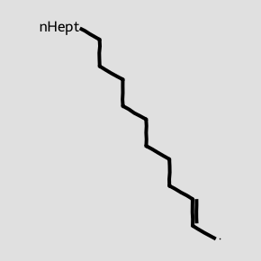 [CH2]C=CCCCCCCCCCCCCCC[CH2]